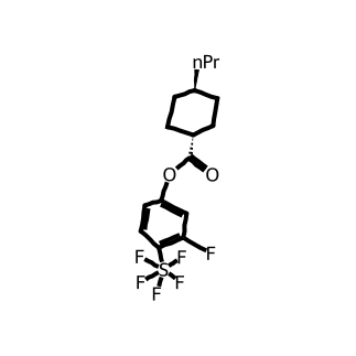 CCC[C@H]1CC[C@H](C(=O)Oc2ccc(S(F)(F)(F)(F)F)c(F)c2)CC1